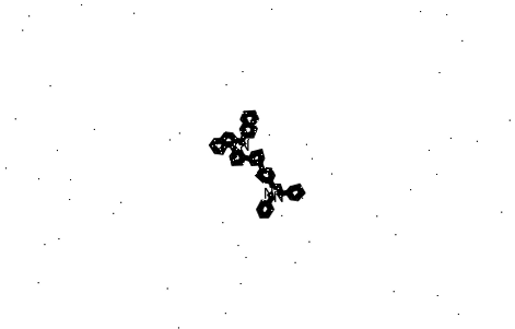 c1ccc(-c2cc(-c3ccc(-c4cccc(-c5cccc6c5nc(-c5ccc7ccccc7c5)c5ccc7ccccc7c56)c4)cc3)nc(-c3ccccc3)n2)cc1